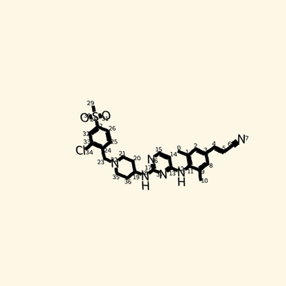 Cc1cc(/C=C/C#N)cc(C)c1Nc1ccnc(NC2CCN(Cc3ccc(S(C)(=O)=O)cc3Cl)CC2)n1